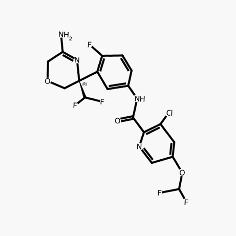 NC1=N[C@@](c2cc(NC(=O)c3ncc(OC(F)F)cc3Cl)ccc2F)(C(F)F)COC1